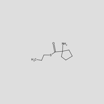 CCCSC(=O)C1(N)CCCC1